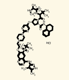 CNC(C)C(=O)NC(C(=O)N1C[C@@H](Oc2cnc(N3CCN(CCOc4cc5ncnc(Nc6n[nH]c(C)c6C)c5cc4S(=O)(=O)C(C)(C)C)CC3)nc2)C[C@H]1C(=O)N[C@@H]1CCCc2ccccc21)C(C)(C)C.Cl